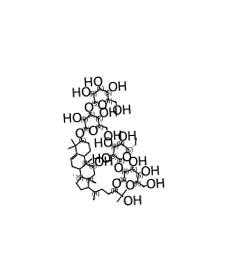 CC[C@@H]1O[C@H](O[C@H]2[C@H](O[C@H](CC[C@@H](C)C3CC[C@@]4(C)C5CC=C6C(CC[C@H](O[C@@H]7O[C@H](CO)[C@@H](O)[C@H](O[C@@H]8O[C@H](CO)[C@@H](O)[C@H](O)[C@H]8O)[C@H]7O)C6(C)C)[C@]5(C)[C@H](O)C[C@]34C)C(C)(C)O)O[C@H](CO)[C@@H](O)[C@@H]2O)[C@@H](O)[C@H](O)[C@H]1O